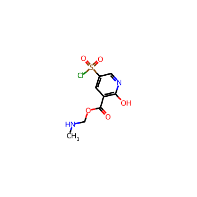 CNCOC(=O)c1cc(S(=O)(=O)Cl)cnc1O